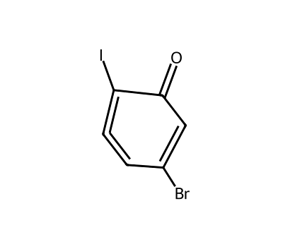 O=C1C=C(Br)C=C=C1I